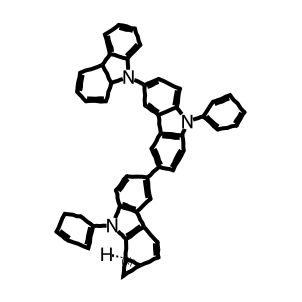 C1=CCCC(n2c3c(c4cc(-c5ccc6c(c5)c5cc(N7c8ccccc8C8C=CC=CC87)ccc5n6-c5ccccc5)ccc42)C=CC2C[C@@H]32)=C1